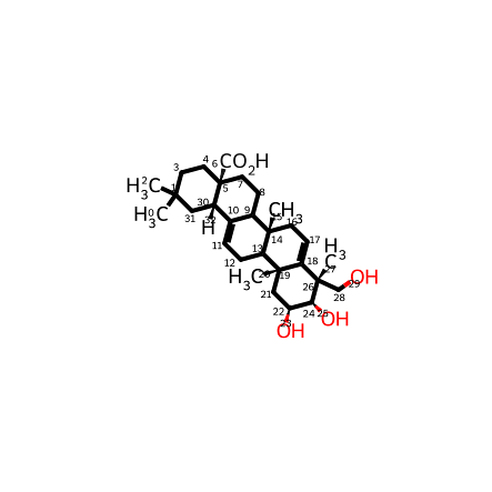 CC1(C)CC[C@]2(C(=O)O)CCC3C(=CCC4[C@@]3(C)CC=C3[C@]4(C)C[C@H](O)[C@H](O)[C@@]3(C)CO)[C@@H]2C1